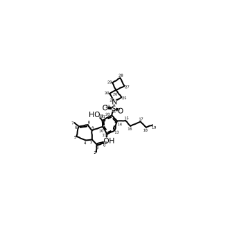 C=C(C)C1CCC(C)=CC1c1c(O)cc(CCCCC)c(S(=O)(=O)N2CC3(CCC3)C2)c1O